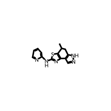 CC1Cc2[nH]ncc2-c2nc(Nc3ccccn3)sc21